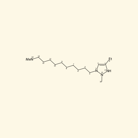 CCC1=CN(CCCCCCCCCCNC)N(C)N1